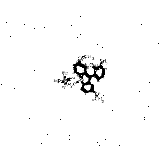 COc1ccc2c(c1)c(-c1cccc(C)c1C)c1cc(OC)ccc1[n+]2C.F[B-](F)(F)F